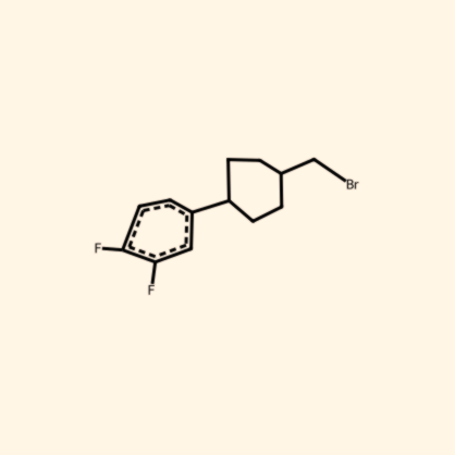 Fc1ccc(C2CCC(CBr)CC2)cc1F